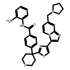 Nc1ccccc1NC(=O)c1ccc(C2(c3nc(-c4cnc5cc(CN6CCCC6)ccn45)cs3)CCOCC2)cc1